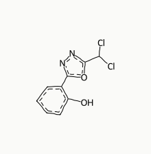 Oc1ccccc1-c1nnc(C(Cl)Cl)o1